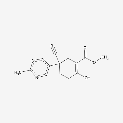 COC(=O)C1=C(O)CCC(C#N)(c2cnc(C)nc2)C1